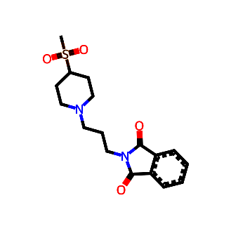 CS(=O)(=O)C1CCN(CCCN2C(=O)c3ccccc3C2=O)CC1